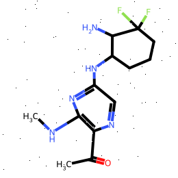 CNc1nc(NC2CCCC(F)(F)C2N)cnc1C(C)=O